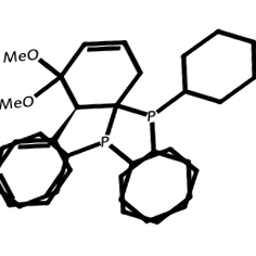 COC1(OC)C=CCC(P(C2CCCCC2)C2CCCCC2)(P(C2CCCCC2)C2CCCCC2)[C@H]1c1ccccc1